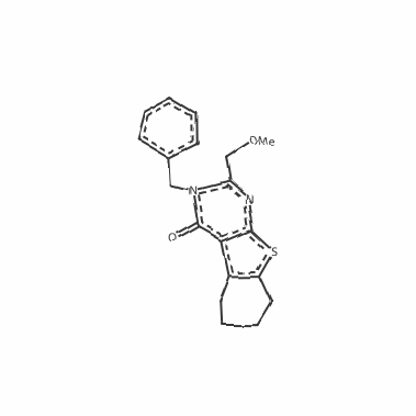 COCc1nc2sc3c(c2c(=O)n1Cc1ccccc1)CCCC3